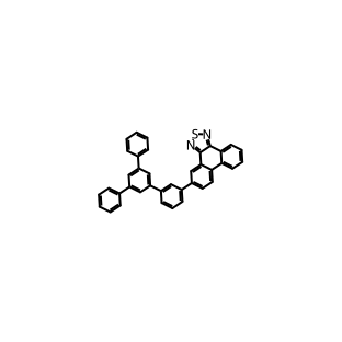 c1ccc(-c2cc(-c3ccccc3)cc(-c3cccc(-c4ccc5c6ccccc6c6nsnc6c5c4)c3)c2)cc1